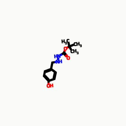 CC(C)(C)OC(=O)NNCc1ccc(O)cc1